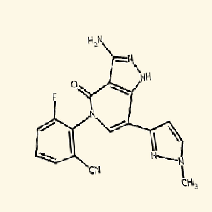 Cn1ccc(-c2cn(-c3c(F)cccc3C#N)c(=O)c3c(N)n[nH]c23)n1